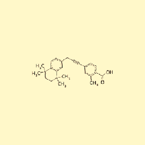 Cc1cc(C#CCc2ccc3c(c2)C(C)(C)CCC3(C)C)ccc1C(=O)O